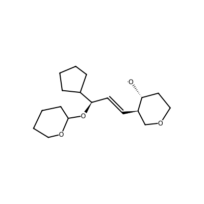 [O][C@@H]1CCOC[C@H]1C=C[C@@H](OC1CCCCO1)C1CCCC1